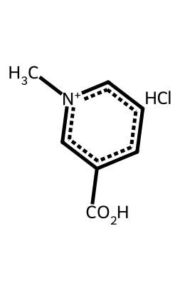 C[n+]1cccc(C(=O)O)c1.Cl